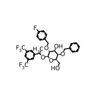 C[C@@H](O[C@@H]1O[C@H](CO)[C@H](OCc2ccccc2)[C@H](O)[C@H]1OCc1ccc(F)cc1)c1cc(C(F)(F)F)cc(C(F)(F)F)c1